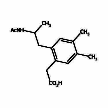 CC(=O)NC(C)Cc1cc(C)c(C)cc1CC(=O)O